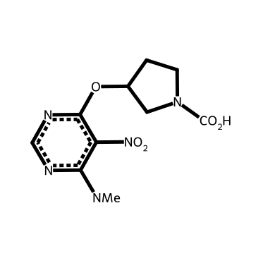 CNc1ncnc(OC2CCN(C(=O)O)C2)c1[N+](=O)[O-]